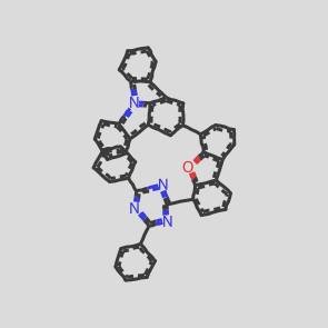 c1ccc(-c2nc(-c3ccccc3)nc(-c3cccc4c3oc3c(-c5cc6c7ccccc7n7c8ccccc8c(c5)c67)cccc34)n2)cc1